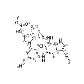 COC(=O)N[C@H]1CN(c2cc(C#N)cc(Nc3nc(NC4CC4)c4ncc(C#N)n4n3)c2Cl)C[C@H]1OC